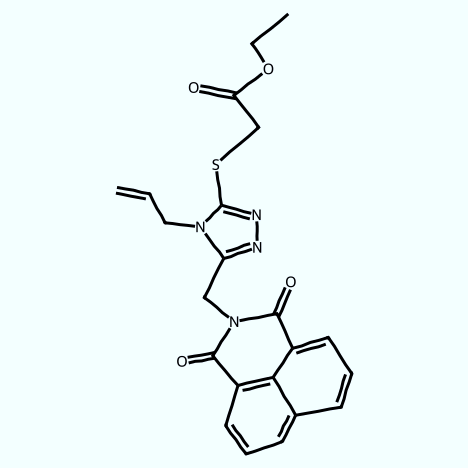 C=CCn1c(CN2C(=O)c3cccc4cccc(c34)C2=O)nnc1SCC(=O)OCC